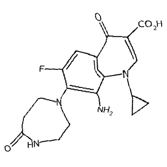 Nc1c(N2CCNC(=O)CC2)c(F)cc2c(=O)c(C(=O)O)cn(C3CC3)c12